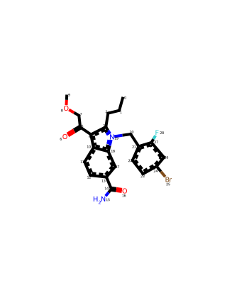 CCCc1c(C(=O)COC)c2ccc(C(N)=O)cc2n1Cc1ccc(Br)cc1F